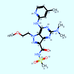 CCCOCCn1nc(C(=O)NS(C)(=O)=O)c2nc(N(C)C)nc(Nc3cc(C)ccn3)c21